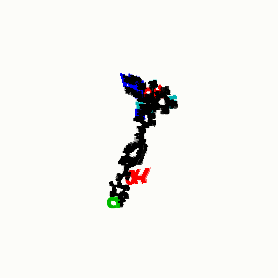 OC(Cc1ccc(Cl)cc1)c1ccc(C#Cc2ccc(C(F)(F)C(O)(Cn3cnnn3)c3ccc(F)cc3F)nc2)cc1